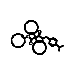 CC(Cc1ccc(C(C)C)cc1)C(=O)C(C(=O)OC1=CCCCCCCCC1)(C1=CCCCCCCCC1)C1=CCCCCCCCC1